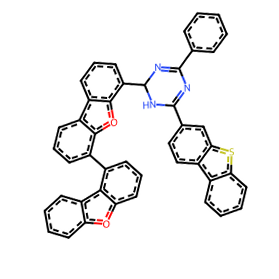 c1ccc(C2=NC(c3cccc4c3oc3c(-c5cccc6oc7ccccc7c56)cccc34)NC(c3ccc4c(c3)sc3ccccc34)=N2)cc1